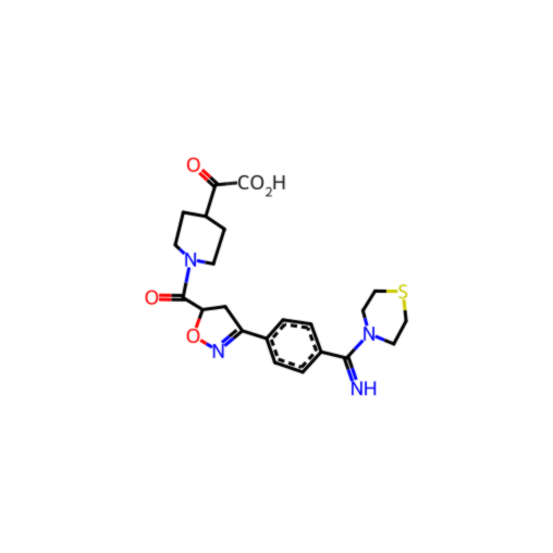 N=C(c1ccc(C2=NOC(C(=O)N3CCC(C(=O)C(=O)O)CC3)C2)cc1)N1CCSCC1